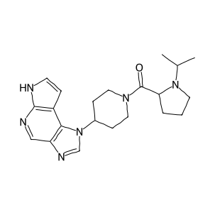 CC(C)N1CCCC1C(=O)N1CCC(n2cnc3cnc4[nH]ccc4c32)CC1